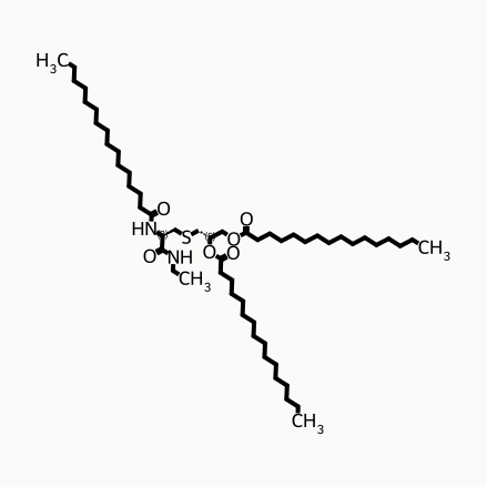 CCCCCCCCCCCCCCCC(=O)N[C@@H](CSC[C@H](COC(=O)CCCCCCCCCCCCCCC)OC(=O)CCCCCCCCCCCCCCC)C(=O)NCC